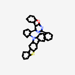 c1ccc(-c2nc(-c3ccccc3-n3c4ccccc4c4cc5sc6ccccc6c5cc43)c3c(n2)oc2ccccc23)cc1